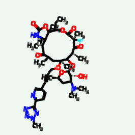 CC[C@H]1OC(=O)[C@@](C)(F)C(=O)[C@H](C)[C@@H](O[C@@H]2O[C@H](C)C[C@H](N(C)C)[C@H]2O)[C@@](C)(OCC#Cc2ccc(-c3nnn(C)n3)nc2)C[C@@H](C)C(=O)[C@H](C)[C@H]2NC(=O)O[C@@]21C